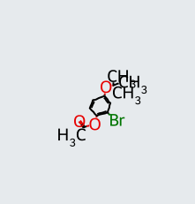 CC(=O)Oc1ccc(OC(C)(C)C)cc1Br